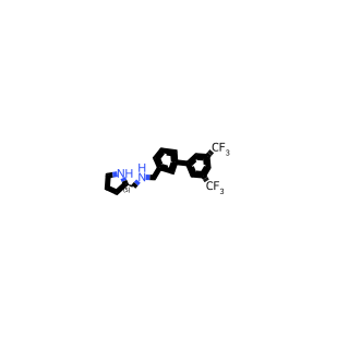 FC(F)(F)c1cc(-c2cccc(CNC[C@@H]3CCCN3)c2)cc(C(F)(F)F)c1